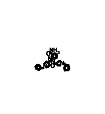 NC(=O)c1cccc2c1nc(C1CCN(Cc3ccccc3)CC1)n2C(=O)C1CCN(Cc2ccccc2)CC1